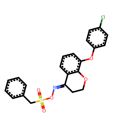 O=S(=O)(Cc1ccccc1)ON=C1CCOc2c(Oc3ccc(Cl)cc3)cccc21